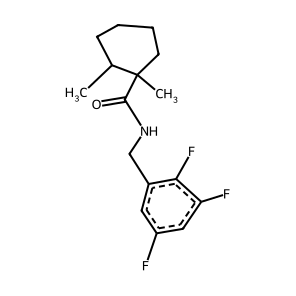 CC1CCCCC1(C)C(=O)NCc1cc(F)cc(F)c1F